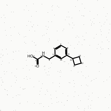 O=C(O)NCc1cccc(C2CCC2)c1